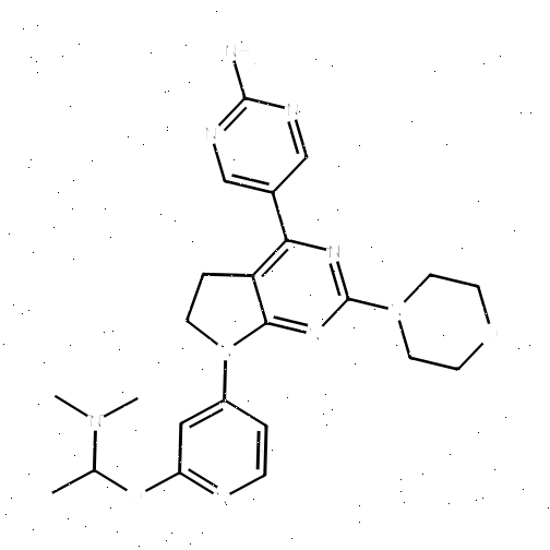 CC(Oc1cc(N2CCc3c(-c4cnc(N)nc4)nc(N4CCOCC4)nc32)ccn1)N(C)C